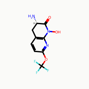 N[C@H]1Cc2ccc(OC(F)(F)F)nc2N(O)C1=O